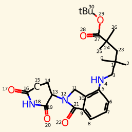 CC(C)(CNc1cccc2c1CN(C1CCC(=O)NC1=O)C2=O)CC(C)(C)C(=O)OC(C)(C)C